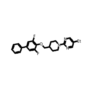 CCc1cnc(N2CCC(COc3c(F)cc(-c4ccccc4)cc3F)CC2)nc1